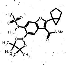 CNC(=O)c1c(C23CCCC2C3)oc2cc(N(C)S(C)(=O)=O)c(B3OC(C)(C)C(C)(C)O3)cc12